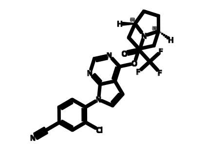 N#Cc1ccc(-n2ccc3c(OC4C[C@@H]5CC[C@@H](C4)N5C(=O)C(F)(F)F)ncnc32)c(Cl)c1